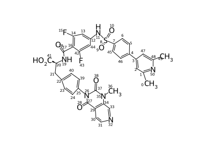 Cc1cc(-c2ccc(S(=O)(=O)Nc3cc(F)c(C(=O)N[C@@H](Cc4ccc(-n5c(=O)c6ccncc6n(C)c5=O)cc4)C(=O)O)c(F)c3)cc2)cc(C)n1